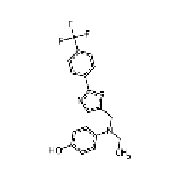 CCN(Cc1cnc(-c2ccc(C(F)(F)F)cc2)s1)c1ccc(O)cc1